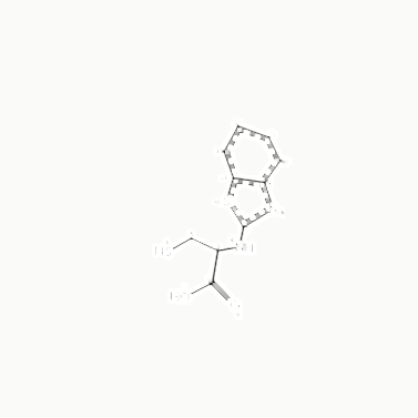 O=C(O)C(CS)Nc1nc2ccccc2s1